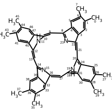 Cc1cc2c(cc1C)-c1cc3[nH]c(cc4nc(cc5[nH]c(cc-2n1)c1cc(C)c(C)cc51)-c1cc(C)c(C)cc1-4)c1cc(C)c(C)cc31